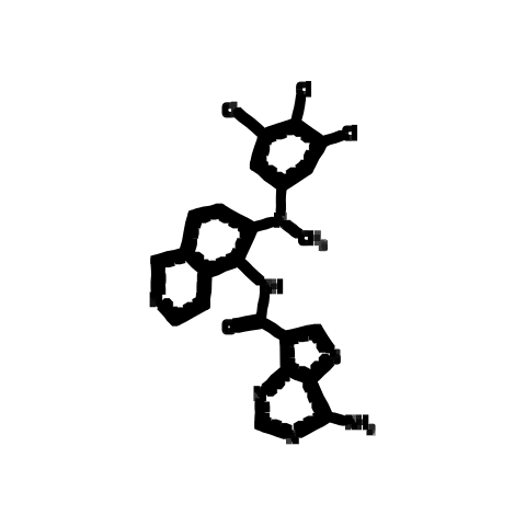 CN(c1cc(Cl)c(Cl)c(Cl)c1)c1ccc2cnccc2c1NC(=O)c1csc2c(N)ncnc12